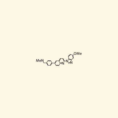 CNCc1ccc(-c2ccc3nc(-n4cnc5cc(OC)ccc54)ccc3c2)cc1